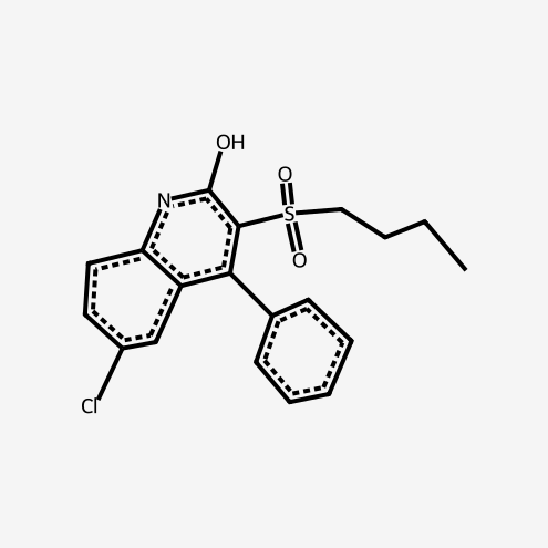 CCCCS(=O)(=O)c1c(O)nc2ccc(Cl)cc2c1-c1ccccc1